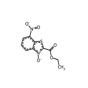 CCOC(=O)c1sc2c([N+](=O)[O-])cccc2[n+]1[O-]